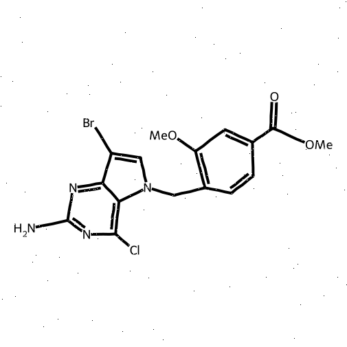 COC(=O)c1ccc(Cn2cc(Br)c3nc(N)nc(Cl)c32)c(OC)c1